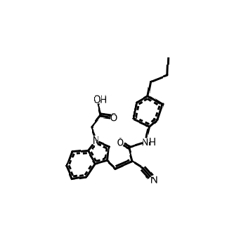 CCCc1ccc(NC(=O)C(C#N)=Cc2cn(CC(=O)O)c3ccccc23)cc1